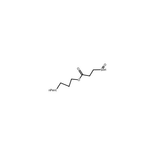 CCCCCCCCOC(=O)C[CH2][SnH]=[O]